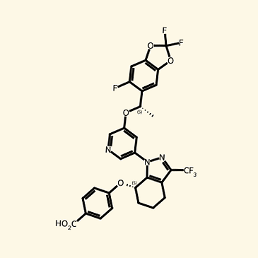 C[C@H](Oc1cncc(-n2nc(C(F)(F)F)c3c2[C@@H](Oc2ccc(C(=O)O)cc2)CCC3)c1)c1cc2c(cc1F)OC(F)(F)O2